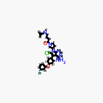 CN(C/C=C/C(=O)N1CC[C@@H](n2c(Cl)c(-c3ccc(Oc4cccc(F)c4)cc3)c3c(N)ncnc32)C1)C1CC1